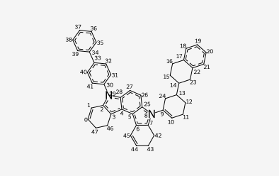 C1=Cc2c(c3c4c5c(n(C6=CCCC(C7CCc8ccccc8C7)C6)c4ccc3n2-c2ccc(-c3ccccc3)cc2)CCC=C5)CC1